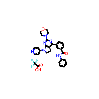 O=C(Nc1ccccc1)c1cccc(-c2nc(N3CCOCC3)nc3c2CCN3c2ccncc2)c1.O=C(O)C(F)(F)F